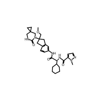 COCC1(N2CC3(CC3)CNC2=O)Cc2ccc(NC(=O)[C@@H](NC(=O)c3ccnn3C)C3CCCCC3)cc2C1